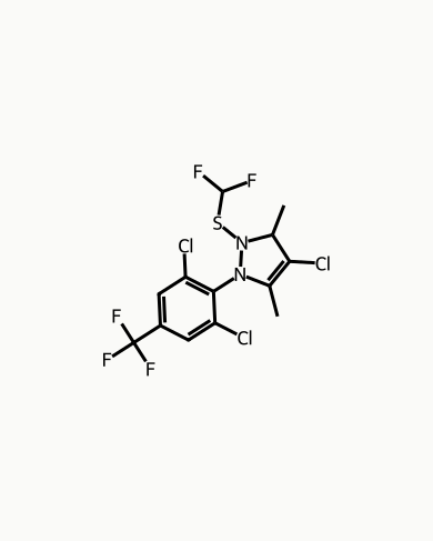 CC1=C(Cl)C(C)N(SC(F)F)N1c1c(Cl)cc(C(F)(F)F)cc1Cl